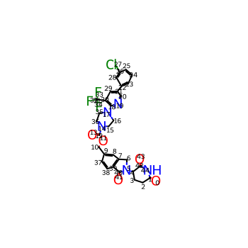 O=C1CCC(N2Cc3cc(COC(=O)N4CCN(c5ncc(-c6cccc(Cl)c6)cc5C(F)(F)F)CC4)ccc3C2=O)C(=O)N1